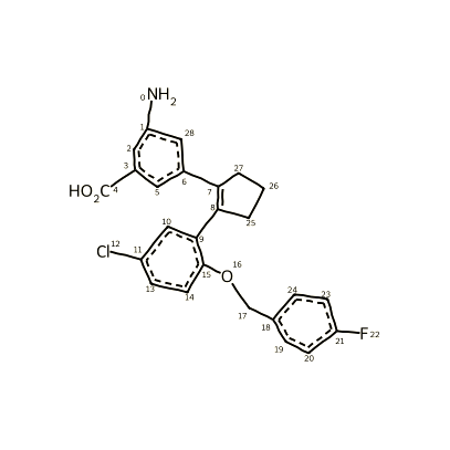 Nc1cc(C(=O)O)cc(C2=C(c3cc(Cl)ccc3OCc3ccc(F)cc3)CCC2)c1